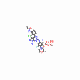 C=CC(=O)Nc1cccc(-c2nc(Nc3cc(F)c(N4CCOCC4)c(OCOP(=O)(O)O)c3)nc3[nH]nc(Cl)c23)c1